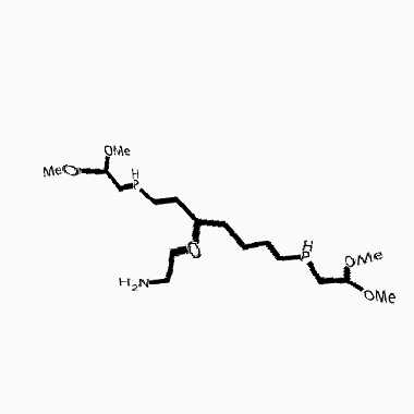 COC(CPCCCCC(CCPCC(OC)OC)OCCN)OC